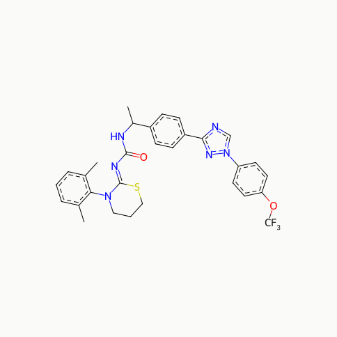 Cc1cccc(C)c1N1CCCS/C1=N\C(=O)NC(C)c1ccc(-c2ncn(-c3ccc(OC(F)(F)F)cc3)n2)cc1